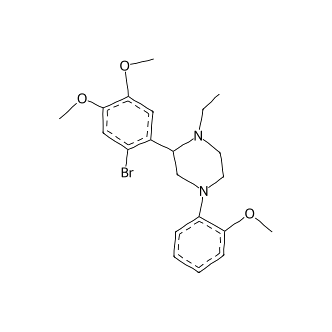 CCN1CCN(c2ccccc2OC)CC1c1cc(OC)c(OC)cc1Br